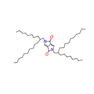 CCCCCCCCCCC(CCCCCCCC)CN1C=C2C(=O)N(CC(CCCCCCCC)CCCCCCCCCC)C=C2C1=O